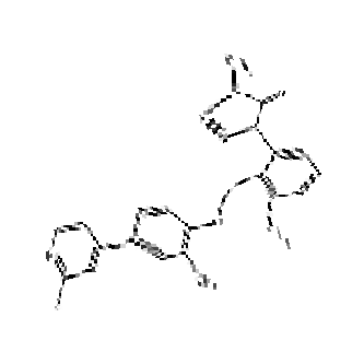 Cc1cc(-c2ccnc(Cl)c2)ccc1OCc1c(C)cccc1-n1nnn(C)c1=O